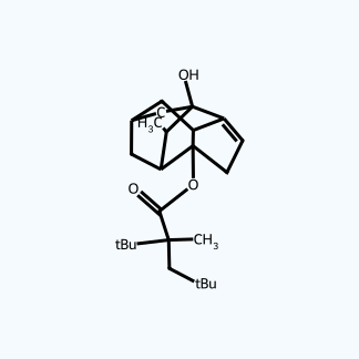 CC1C2CC3CC4C(=CCC42OC(=O)C(C)(CC(C)(C)C)C(C)(C)C)C1(O)C3